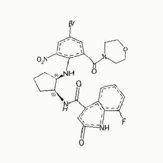 O=C(N[C@H]1CCC[C@H]1Nc1c(C(=O)N2CCOCC2)cc(Br)cc1[N+](=O)[O-])c1cc(=O)[nH]c2c(F)cccc12